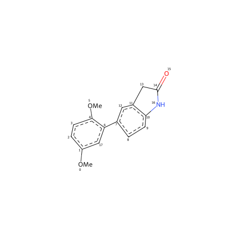 COc1ccc(OC)c(-c2ccc3c(c2)CC(=O)N3)c1